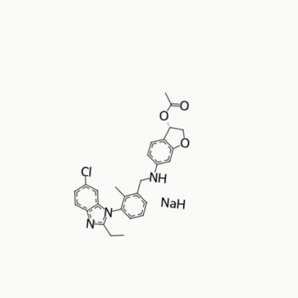 CCc1nc2ccc(Cl)cc2n1-c1cccc(CNc2ccc3c(c2)OC[C@H]3OC(C)=O)c1C.[NaH]